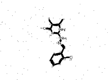 Cc1[nH]c(NN=Cc2ccccc2Cl)nc(=O)c1C